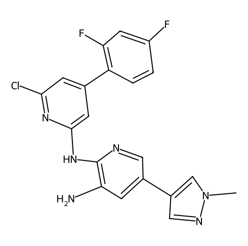 Cn1cc(-c2cnc(Nc3cc(-c4ccc(F)cc4F)cc(Cl)n3)c(N)c2)cn1